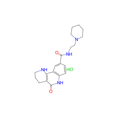 Cl.O=C(NCCN1CCCCC1)c1ccc2[nH]c(=O)c3c(c2c1)NCCC3